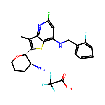 Cc1c([C@H]2OCCC[C@@H]2N)sc2c(NCc3ccccc3F)cc(Cl)nc12.O=C(O)C(F)(F)F